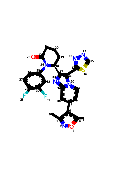 Cc1noc(C)c1-c1ccn2c(-c3nncs3)c([C@@H]3CCCC(=O)N3c3ccc(F)c(F)c3)nc2c1